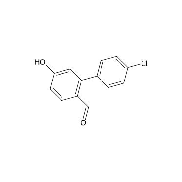 O=Cc1ccc(O)cc1-c1ccc(Cl)cc1